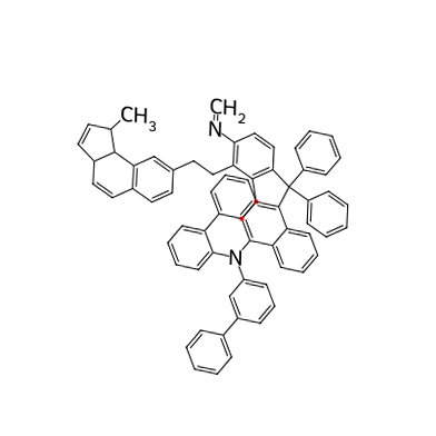 C=Nc1ccc2c(c1CCc1ccc3c(c1)C1C(C)C=CC1C=C3)-c1cc(N(c3cccc(-c4ccccc4)c3)c3ccccc3-c3ccccc3)c3ccccc3c1C2(c1ccccc1)c1ccccc1